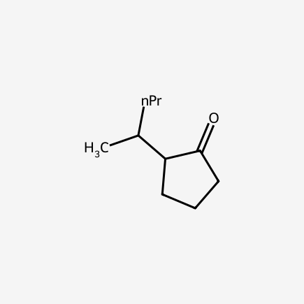 CCCC(C)C1CCCC1=O